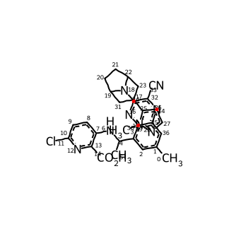 Cc1cc(C(C)Nc2ccc(Cl)nc2C(=O)O)c2nc(N3C4CCC3CC(c3ccnn3C)C4)c(C#N)nc2c1